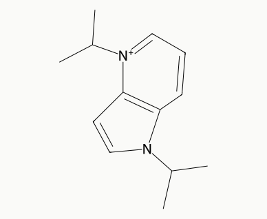 CC(C)n1ccc2c1ccc[n+]2C(C)C